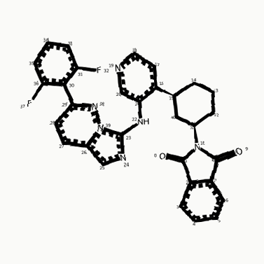 O=C1c2ccccc2C(=O)N1[C@@H]1CCC[C@H](c2ccncc2Nc2ncc3ccc(-c4c(F)cccc4F)nn23)C1